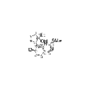 CCC1(O)CCCC1N1C(=O)CCc2cnc(SC)nc21